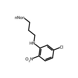 CCCCCCCCCCCCNc1cc(Cl)ccc1[N+](=O)[O-]